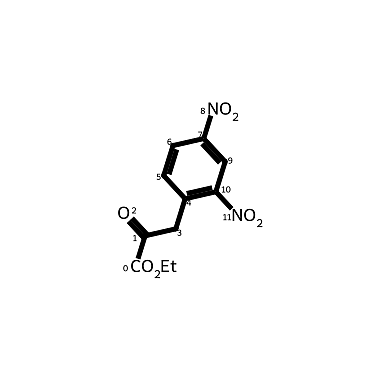 CCOC(=O)C(=O)Cc1ccc([N+](=O)[O-])cc1[N+](=O)[O-]